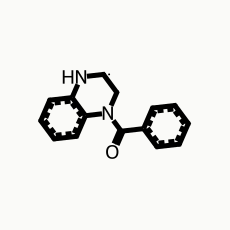 O=C(c1ccccc1)N1C[CH]Nc2ccccc21